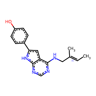 C/C=C(\C)CNc1ncnc2[nH]c(-c3ccc(O)cc3)cc12